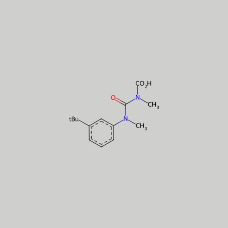 CN(C(=O)O)C(=O)N(C)c1cccc(C(C)(C)C)c1